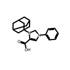 O=C(O)C1=CN(c2ccccc2)CN1C12CC3CC(CC(C3)C1)C2